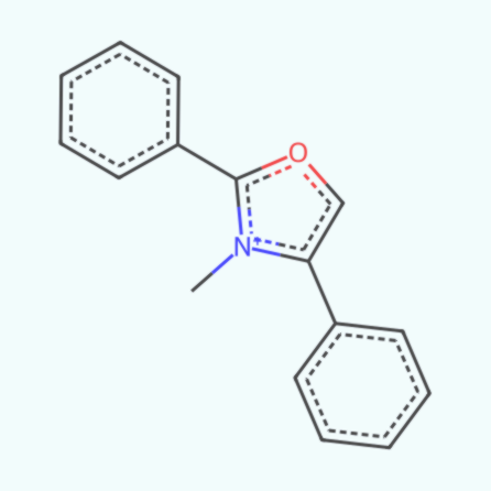 C[n+]1c(-c2ccccc2)coc1-c1ccccc1